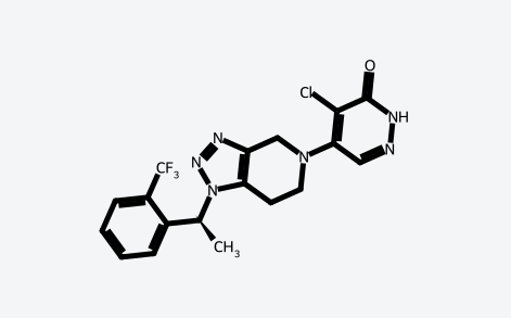 C[C@@H](c1ccccc1C(F)(F)F)n1nnc2c1CCN(c1cn[nH]c(=O)c1Cl)C2